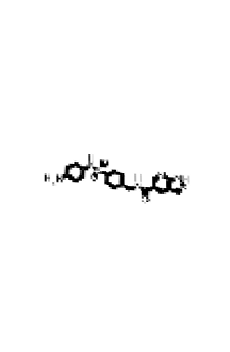 NC1CCC(NS(=O)(=O)c2ccc(CNC(=O)c3cnc4[nH]ncc4c3)cc2)CC1